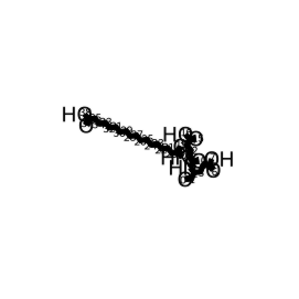 O=CC(CCC(=O)O)NC(=O)C(CCC(=O)O)NC(=O)CCCCCCCCCCCCCCCCC(=O)O